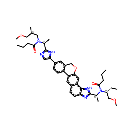 CCCC(=O)N(C[C@H](C)COC)[C@@H](C)c1ncc(-c2ccc3c(c2)COc2cc4c(ccc5nc([C@H](C)N(C(=O)CCC)[C@H](CC)COC)[nH]c54)cc2-3)[nH]1